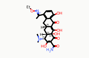 CCO/N=C(\C)c1ccc(O)c2c1C[C@H]1C[C@H]3[C@H](N(C)C)C(O)=C(C(N)=O)C(=O)[C@@]3(O)C(O)=C1C2=O